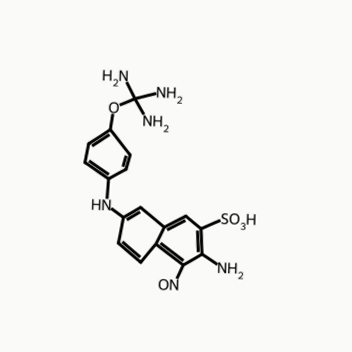 Nc1c(S(=O)(=O)O)cc2cc(Nc3ccc(OC(N)(N)N)cc3)ccc2c1N=O